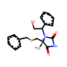 C[C@]1(CSCc2ccccc2)C(=O)NC(=O)N1C(CO)c1ccccc1